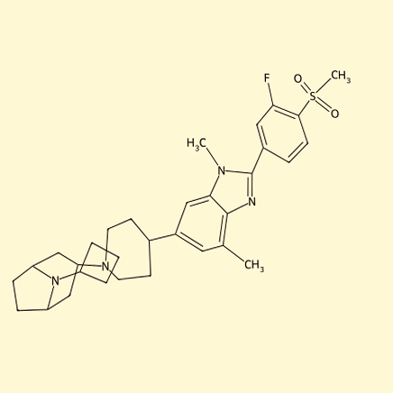 Cc1cc(C2CCN(C3CC4CCC(C3)N4C3CCC3)CC2)cc2c1nc(-c1ccc(S(C)(=O)=O)c(F)c1)n2C